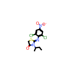 CCC(C)N1C(=O)CSC1=Nc1c(Cl)cc([N+](=O)[O-])cc1Cl